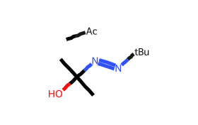 CC(C)(C)N=NC(C)(C)O.CC(C)=O